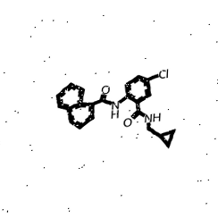 O=C(NCC1CC1)c1cc(Cl)ccc1NC(=O)c1cccc2ccccc12